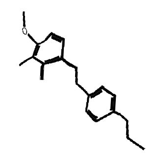 CCCc1ccc(CCc2ccc(OC)c(C)c2C)cc1